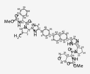 C=C1CC(c2ncc(-c3ccc(-c4ccc5cc(-c6cnc(C7CCCN7C(=O)C(NC(=O)OC)C7CCOCC7)[nH]6)ccc5c4)cc3)[nH]2)N(C(=O)C(NC(=O)OC)c2ccccc2)C1